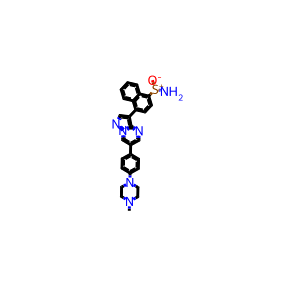 CN1CCN(c2ccc(-c3cnc4c(-c5ccc([S+](N)[O-])c6ccccc56)cnn4c3)cc2)CC1